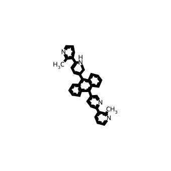 Cc1ncccc1C1=CC=C(c2c3ccccc3c(-c3ccc(-c4cccnc4C)nc3)c3ccccc23)CN1